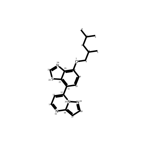 CC(C)CC(C)COc1ccc(-c2ccnc3ccnn23)c2scnc12